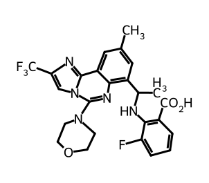 Cc1cc(C(C)Nc2c(F)cccc2C(=O)O)c2nc(N3CCOCC3)n3cc(C(F)(F)F)nc3c2c1